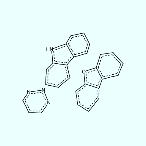 c1ccc2c(c1)[nH]c1ccccc12.c1ccc2c(c1)oc1ccccc12.c1cnnnc1